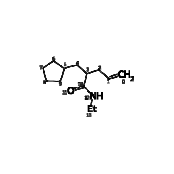 C=CCC(CC1CCCC1)C(=O)NCC